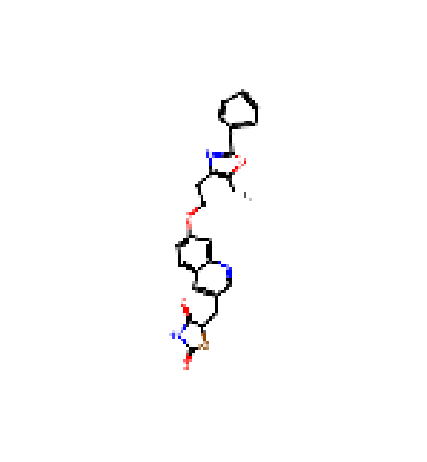 Cc1oc(-c2ccccc2)nc1CCOc1ccc2cc(CC3SC(=O)NC3=O)cnc2c1